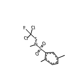 Cc1ccc(C)c(S(=O)(=O)N(C)SC(F)(Cl)Cl)c1